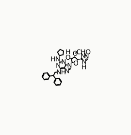 O=CO[C@H]1[C@@H](O)[C@H](n2cnc3c(NCC(c4ccccc4)c4ccccc4)nc(NC4CCCC4)nc32)O[C@@H]1c1nnc[nH]1